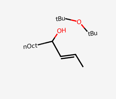 CC(C)(C)OC(C)(C)C.CC=CC(O)CCCCCCCC